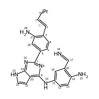 CC(C)/C=C/c1ccc(-c2nc(Nc3ccc(N)c(C=N)c3)c3cc[nH]c3n2)cc1N